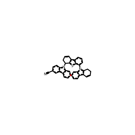 N#Cc1ccc2c(c1)c1ccccc1n2C1CC=Cc2c1sc1c(-n3c4c(c5ccccc53)C=CCC4)cccc21